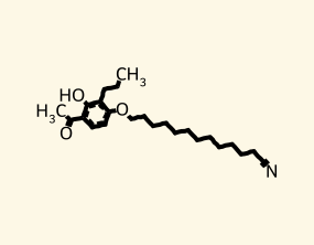 CCCc1c(OCCCCCCCCCCCCC#N)ccc(C(C)=O)c1O